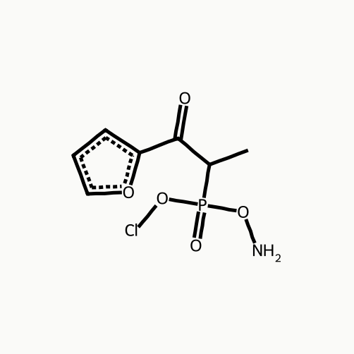 CC(C(=O)c1ccco1)P(=O)(ON)OCl